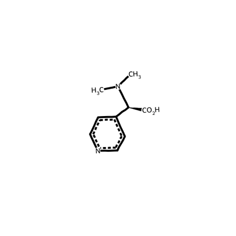 CN(C)[C@@H](C(=O)O)c1ccncc1